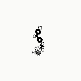 CC(C)(Oc1ccc(C(=O)c2ccc(Cl)cc2)cc1)C(=O)Nc1nn[nH]n1